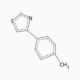 Cc1ccc(-c2cs[c]n2)cc1